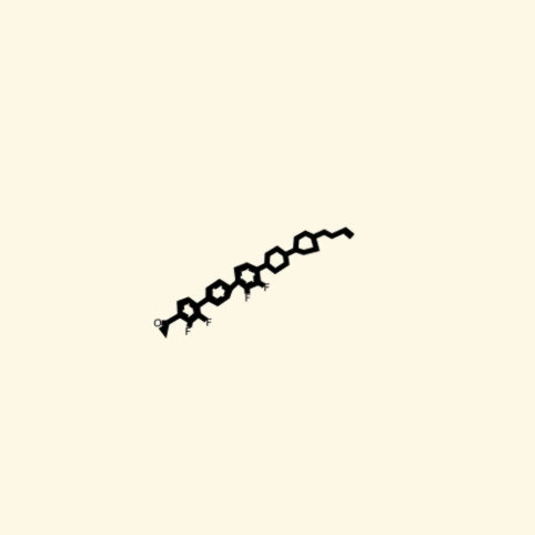 C=CCCC1CCC(C2CCC(c3ccc(-c4ccc(-c5ccc(C6CO6)c(F)c5F)cc4)c(F)c3F)CC2)CC1